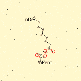 CCCCCCCCCCCCCCCCCC(=O)OOC(=O)CCCCC